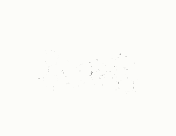 CCN/C(=N\C1=Cc2ccccc2C12c1ccccc1-c1ccc(-c3ccc(-n4c5ccccc5c5ccccc54)cc3)cc12)c1ccccc1